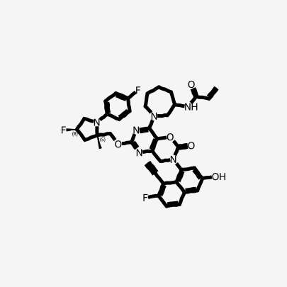 C#Cc1c(F)ccc2cc(O)cc(N3Cc4nc(OC[C@]5(C)C[C@@H](F)CN5c5ccc(F)cc5)nc(N5CCCCC(NC(=O)C=C)C5)c4OC3=O)c12